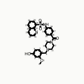 COc1cc(O)ccc1CN1CCN(C(=O)c2ccc(NS(=O)(=O)c3cccc4cccnc34)cc2)CC1